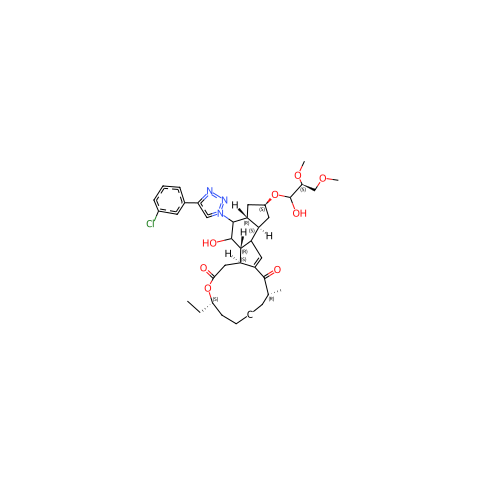 CC[C@H]1CCCC[C@@H](C)C(=O)C2=CC3[C@@H](C(O)C(n4cc(-c5cccc(Cl)c5)nn4)[C@@H]4C[C@@H](OC(O)[C@H](COC)OC)C[C@@H]34)[C@@H]2CC(=O)O1